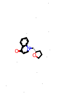 O=c1ccn(C[C@@H]2CCCO2)c2ccccc12